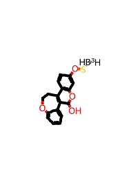 [3H]BSOc1ccc2c(c1)OC(O)C1=C2CCOc2ccccc21